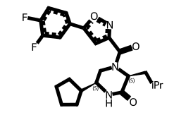 CC(C)C[C@H]1C(=O)N[C@@H](C2CCCC2)CN1C(=O)c1cc(-c2ccc(F)c(F)c2)on1